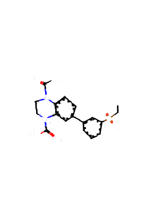 CCS(=O)(=O)c1cccc(-c2ccc3c(c2)N(C(=O)O)C[C@H](C)N3C(C)=O)c1